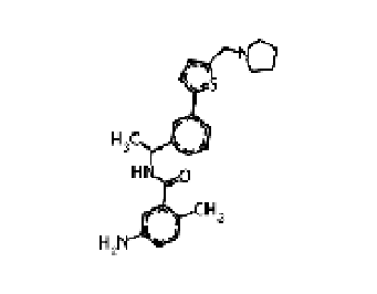 Cc1ccc(N)cc1C(=O)NC(C)c1cccc(-c2ccc(CN3CCCC3)s2)c1